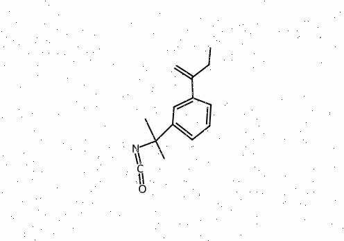 C=C(CC)c1cccc(C(C)(C)N=C=O)c1